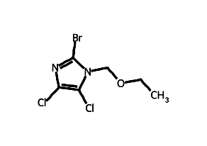 CCOCn1c(Br)nc(Cl)c1Cl